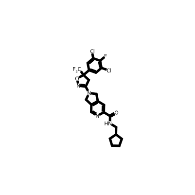 O=C(NCC1CCCC1)c1cc2c(cn1)CN(C1=NOC(c3cc(Cl)c(F)c(Cl)c3)(C(F)(F)F)C1)C2